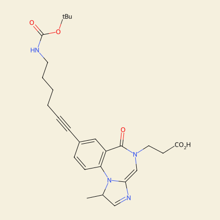 CC1C=NC2=CN(CCC(=O)O)C(=O)c3cc(C#CCCCCNC(=O)OC(C)(C)C)ccc3N21